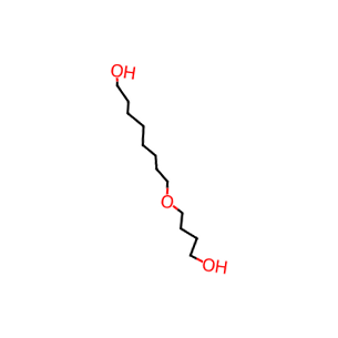 OCCCCCCCCOCCCCO